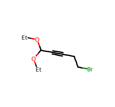 CCOC(C#CCCBr)OCC